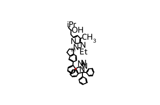 CCc1nc2c(C)cc(CC(O)CC(C)C)nc2n1[C@H]1CCc2cc(-c3ccccc3-c3nnnn3C(c3ccccc3)(c3ccccc3)c3ccccc3)ccc21